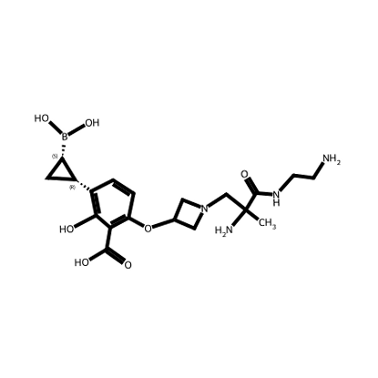 CC(N)(CN1CC(Oc2ccc([C@@H]3C[C@@H]3B(O)O)c(O)c2C(=O)O)C1)C(=O)NCCN